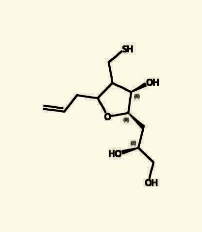 C=CCC1O[C@H](C[C@H](O)CO)[C@H](O)C1CS